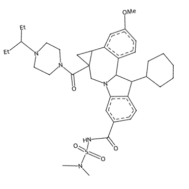 CCC(CC)N1CCN(C(=O)C23CC2c2cc(OC)ccc2C2C(C4CCCCC4)c4ccc(C(=O)NS(=O)(=O)N(C)C)cc4N2C3)CC1